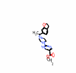 COC(=O)c1cnc(N2CCN(C(C)c3ccc4c(c3)OCC4)CC2)nc1